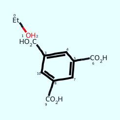 CCO.O=C(O)c1cc(C(=O)O)cc(C(=O)O)c1